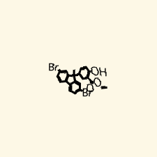 CCOC(=O)c1cc(C2(C)c3cc(Br)ccc3-c3ccc(Br)cc32)ccc1O